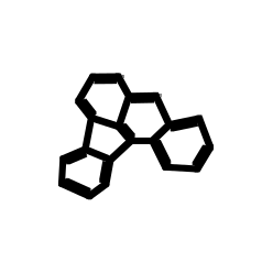 [c]1ccc2c3c(c4ccccc4[c]c13)-c1ccccc1-2